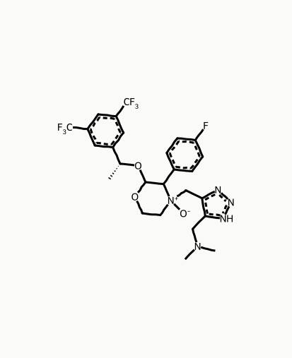 C[C@@H](OC1OCC[N+]([O-])(Cc2nn[nH]c2CN(C)C)C1c1ccc(F)cc1)c1cc(C(F)(F)F)cc(C(F)(F)F)c1